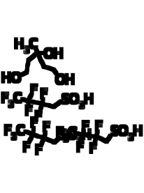 CC(O)(CCO)CCO.O=S(=O)(O)CC(F)(F)C(F)(F)C(F)(F)F.O=S(=O)(O)CC(F)(F)C(F)(F)C(F)(F)F.O=S(=O)(O)CC(F)(F)C(F)(F)C(F)(F)F